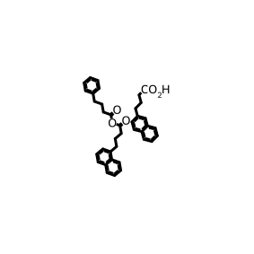 O=C(CCCc1ccccc1)OC(=O)CCCc1cccc2ccccc12.O=C(O)CCCc1ccc2ccccc2c1